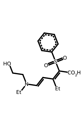 CCC(C=CN(CC)CCO)=C(C(=O)O)S(=O)(=O)c1ccccc1